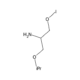 CC(C)OCC(N)COI